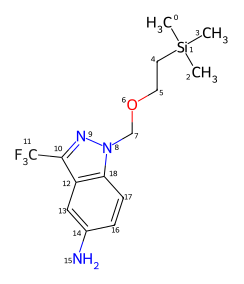 C[Si](C)(C)CCOCn1nc(C(F)(F)F)c2cc(N)ccc21